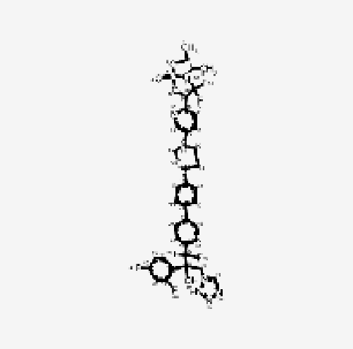 CCOP(=O)(OCC)OC(c1ccc(N2CCN(c3ccc(-c4ccc(C(F)(F)C(O)(Cn5cnnn5)c5ccc(F)cc5F)nc4)cc3)CC2)cn1)C(F)(F)F